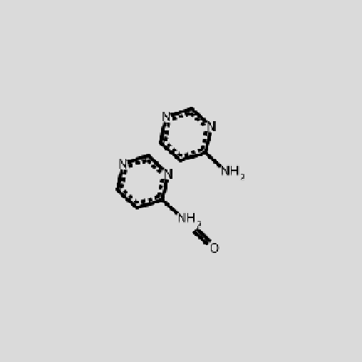 C=O.Nc1ccncn1.Nc1ccncn1